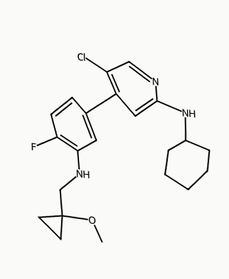 COC1(CNc2cc(-c3cc(NC4CCCCC4)ncc3Cl)ccc2F)CC1